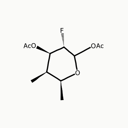 CC(=O)OC1O[C@@H](C)[C@@H](C)[C@@H](OC(C)=O)[C@@H]1F